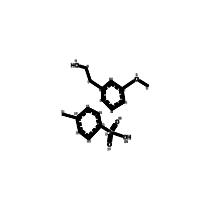 COc1cccc(CCO)c1.Cc1ccc(S(=O)(=O)O)cc1